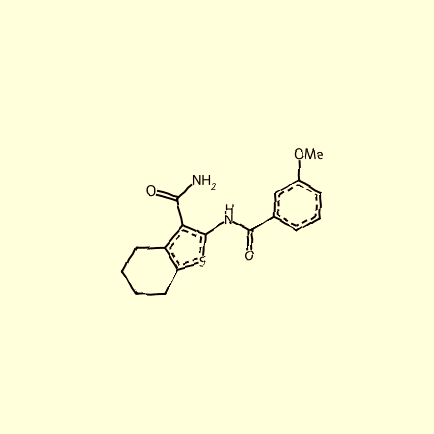 COc1cccc(C(=O)Nc2sc3c(c2C(N)=O)CCCC3)c1